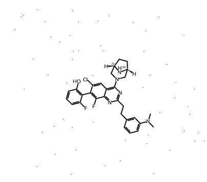 CN(C)c1cccc(CCc2nc(N3C[C@H]4CC[C@@H](C3)N4)c3cc(Cl)c(-c4c(O)cccc4F)c(F)c3n2)c1